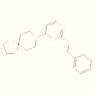 c1ccc(CNc2nccc(N3CCC4(CC3)OCCO4)n2)cc1